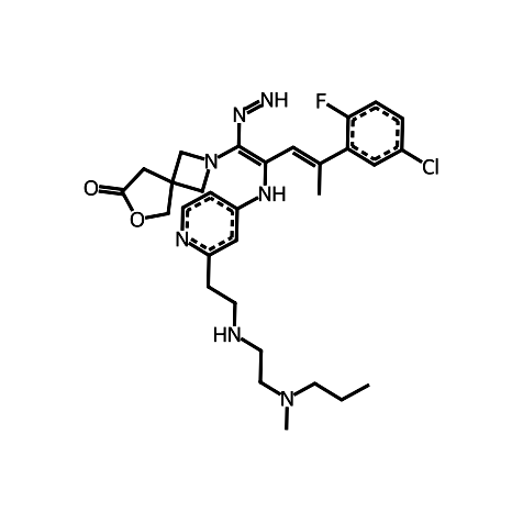 CCCN(C)CCNCCc1cc(NC(/C=C(\C)c2cc(Cl)ccc2F)=C(/N=N)N2CC3(COC(=O)C3)C2)ccn1